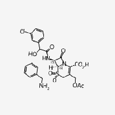 CC(=O)OCC1=C(C(=O)O)N2C(=O)[C@H](NC(=O)C(O)c3cccc(Cl)c3)[C@@H]2S(=O)(=O)C1.NCc1ccccc1